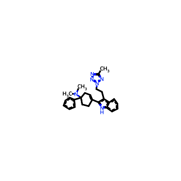 Cc1nnn(CCc2c(C3=CCC(c4ccccc4)(N(C)C)CC3)[nH]c3ccccc23)n1